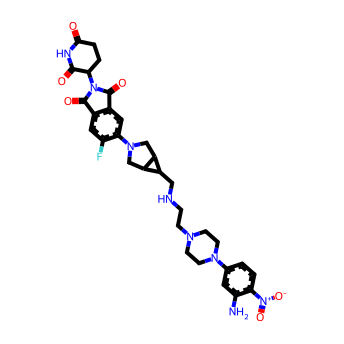 Nc1cc(N2CCN(CCNCC3C4CN(c5cc6c(cc5F)C(=O)N(C5CCC(=O)NC5=O)C6=O)CC34)CC2)ccc1[N+](=O)[O-]